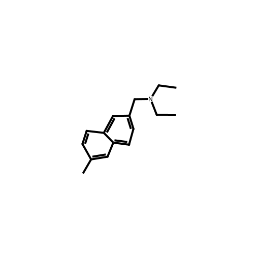 CCN(CC)Cc1ccc2cc(C)ccc2c1